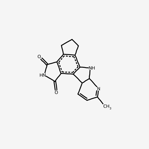 CC1=NC2Nc3c4c(c5c(c3C2C=C1)C(=O)NC5=O)CCC4